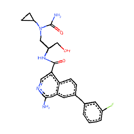 NC(=O)N(CC(CO)NC(=O)c1cnc(N)c2cc(-c3cccc(F)c3)ccc12)C1CC1